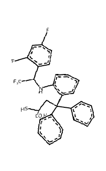 O=C(O)C(S)CC(c1ccccc1)(c1ccccc1)c1ccccc1NC(c1ccc(F)cc1F)C(F)(F)F